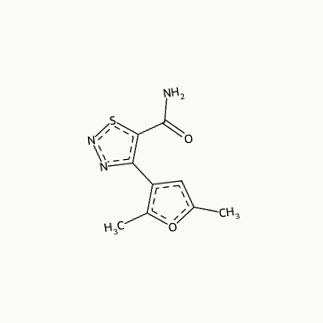 Cc1cc(-c2nnsc2C(N)=O)c(C)o1